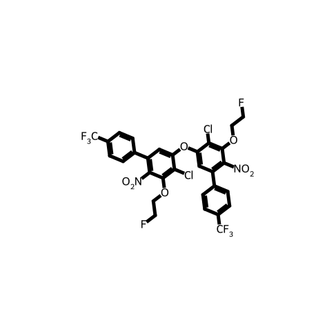 O=[N+]([O-])c1c(-c2ccc(C(F)(F)F)cc2)cc(Oc2cc(-c3ccc(C(F)(F)F)cc3)c([N+](=O)[O-])c(OCCF)c2Cl)c(Cl)c1OCCF